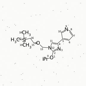 CC(C)Oc1nc(-c2cccnc2)cn1COCC[Si](C)(C)C